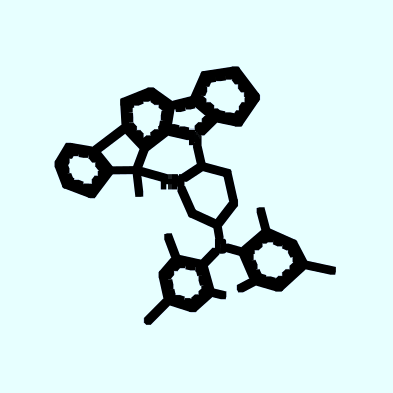 Cc1cc(C)c(B(c2c(C)cc(C)cc2C)C2CCC(n3c4ccccc4c4ccc5c(c43)C(C)(C)c3ccccc3-5)NC2)c(C)c1